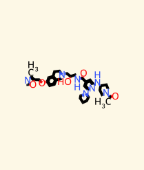 CC(=O)N1CCC(Nc2cc(C(=O)NCC(O)CN3CCc4cc(OCc5ocnc5C)ccc4C3)cc(N3CCCCC3)n2)CC1